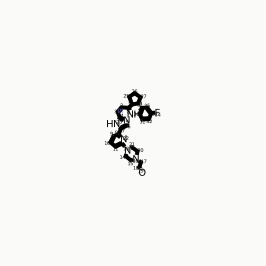 N=C(/C=C\c1ncc(-c2cccc(N3CCN(CC=O)CC3)n2)[nH]1)C1CCC[C@@H]1c1cccc(F)c1